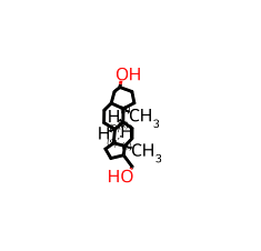 C[C@]12CCC(O)CC1CC[C@@H]1[C@H]2CC[C@]2(C)C(CO)CC[C@@H]12